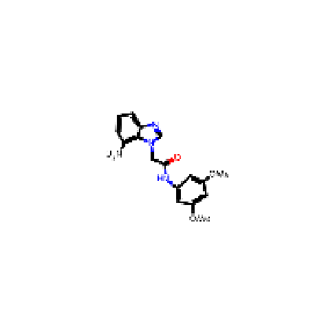 COc1cc(NC(=O)Cn2cnc3cccc([N+](=O)[O-])c32)cc(OC)c1